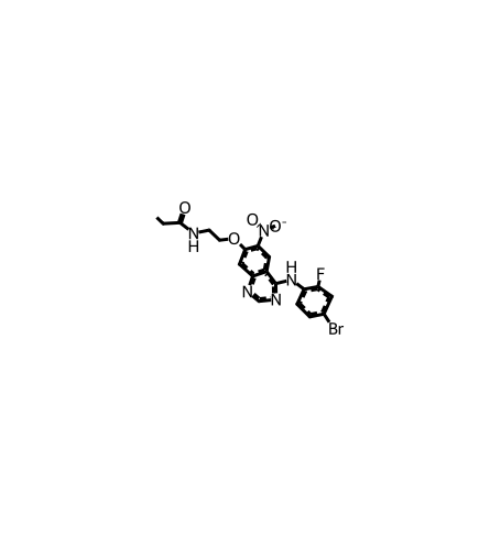 CCC(=O)NCCOc1cc2ncnc(Nc3ccc(Br)cc3F)c2cc1[N+](=O)[O-]